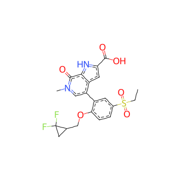 CCS(=O)(=O)c1ccc(OCC2CC2(F)F)c(-c2cn(C)c(=O)c3[nH]c(C(=O)O)cc23)c1